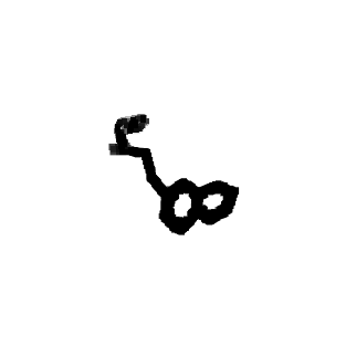 O=[C]NCCc1ccc2ccccc2c1